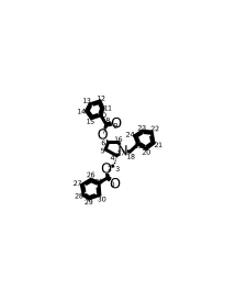 O=C(OC[C@@H]1C[C@H](OC(=O)c2ccccc2)CN1Cc1ccccc1)c1ccccc1